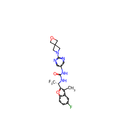 Cc1c([C@@H](NC(=O)Nc2cnc(N3CC4(COC4)C3)nc2)C(F)(F)F)oc2ccc(F)cc12